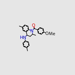 COc1ccc(C(=O)N2c3ccc(C)cc3C(Nc3ccc(C)cc3)CC2C)cc1